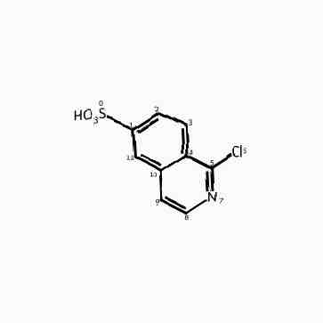 O=S(=O)(O)c1ccc2c(Cl)nccc2c1